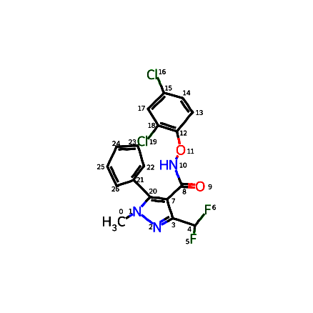 Cn1nc(C(F)F)c(C(=O)NOc2ccc(Cl)cc2Cl)c1-c1ccccc1